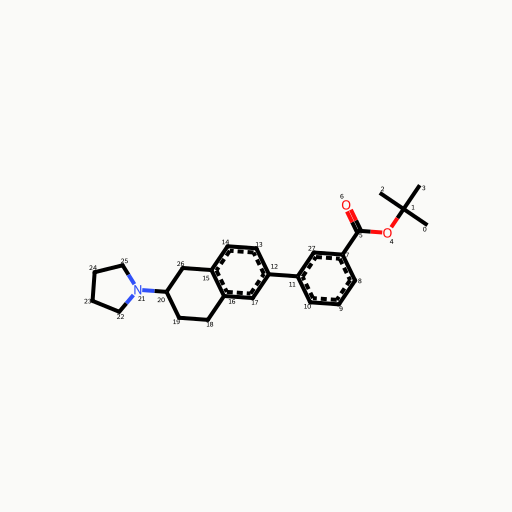 CC(C)(C)OC(=O)c1cccc(-c2ccc3c(c2)CCC(N2CCCC2)C3)c1